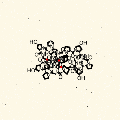 NCCCC[C@H](NC(=O)[C@@H]1CCCN1C(=O)CNC(=O)[C@@H]1C[C@@H](O)CN1C(=O)[C@@H]1CCCN1C(=O)CNC(=O)[C@@H]1C[C@@H](O)CN1C(=O)[C@@H]1CCCN1C(=O)CNC(=O)[C@@H]1C[C@@H](O)CN1C(=O)[C@@H]1CCCN1C(=O)CNC(=O)[C@@H]1C[C@@H](O)CN1C(=O)[C@@H]1CCCN1)C(=O)NCC(=O)N1CCC[C@H]1C(=O)N1C[C@H](O)C[C@H]1C(=O)NCC(=O)N1CCC[C@H]1C(=O)N1C[C@H](O)C[C@H]1C(=O)NCC(=O)O